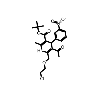 CC(=O)C1=C(COCCCl)NC(C)=C(C(=O)OC(C)(C)C)C1c1cccc([N+](=O)[O-])c1